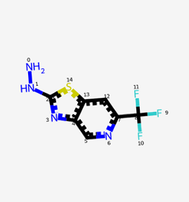 NNc1nc2cnc(C(F)(F)F)cc2s1